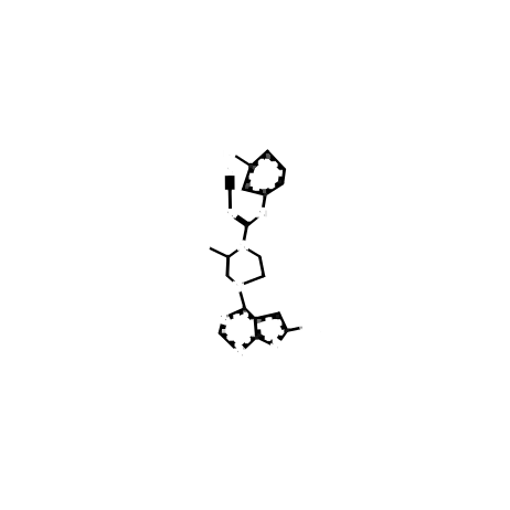 Cc1cc2c(N3CCN(C(=NC#N)Nc4cccc(Br)c4)C(C)C3)ncnc2[nH]1